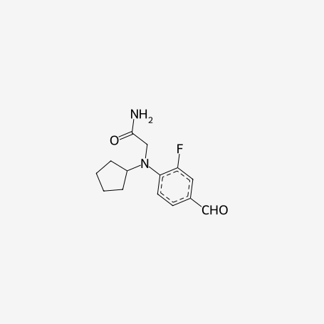 NC(=O)CN(c1ccc(C=O)cc1F)C1CCCC1